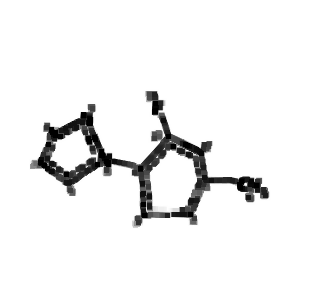 Cc1ccc(-n2c[c]nn2)c(F)c1